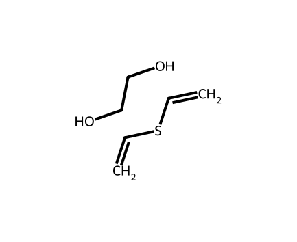 C=CSC=C.OCCO